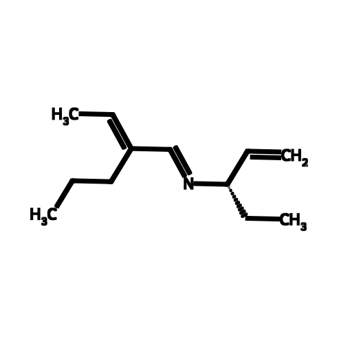 C=C[C@H](CC)/N=C/C(=C/C)CCC